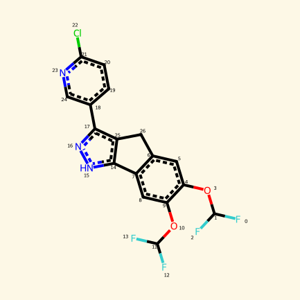 FC(F)Oc1cc2c(cc1OC(F)F)-c1[nH]nc(-c3ccc(Cl)nc3)c1C2